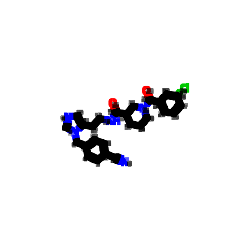 N#Cc1ccc(Cn2cncc2CCNC(=O)C2CCCN(C(=O)c3cccc(Cl)c3)C2)cc1